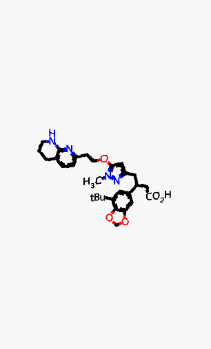 Cn1nc(CC(CC(=O)O)c2cc3c(c(C(C)(C)C)c2)OCO3)cc1OCCc1ccc2c(n1)NCCC2